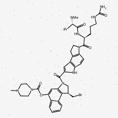 CN[C@H](C(=O)N[C@@H](CCCNC(N)=O)C(=O)N1CCc2c1ccc1[nH]c(C(=O)N3C[C@@H](CBr)c4c3cc(OC(=O)N3CCN(C)CC3)c3ccccc43)cc21)C(C)C